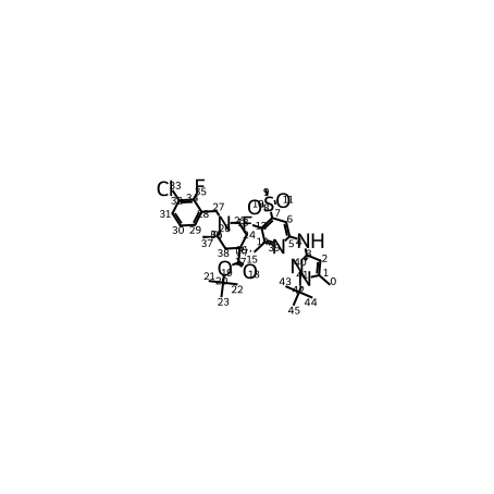 Cc1cc(Nc2cc(S(C)(=O)=O)c(F)c(C[C@@]3(C(=O)OC(C)(C)C)CCN(Cc4cccc(Cl)c4F)[C@H](C)C3)n2)nn1C(C)(C)C